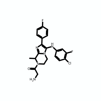 CC1c2nc(-c3ccc(F)cc3)c(Nc3ccc(Cl)c(F)c3)n2CCN1C(=O)CN